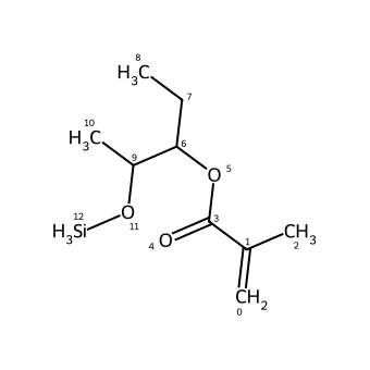 C=C(C)C(=O)OC(CC)C(C)O[SiH3]